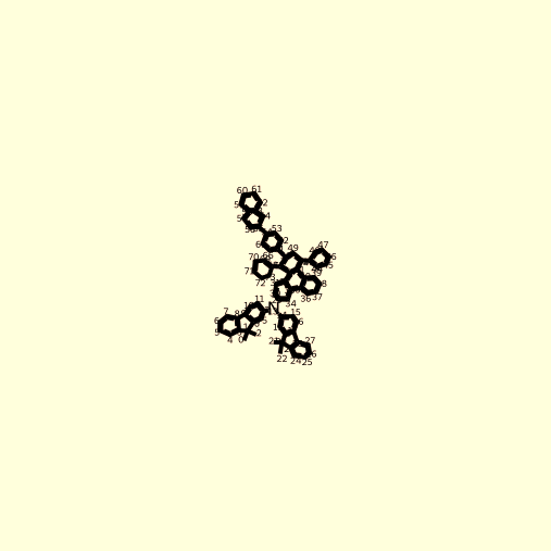 CC1(C)c2ccccc2-c2ccc(N(c3ccc4c(c3)C(C)(C)c3ccccc3-4)c3ccc4c(c3)c3ccccc3c3c(-c5ccccc5)cc(-c5ccc(-c6ccc7ccccc7c6)cc5)c(C5=CC=CCC5)c43)cc21